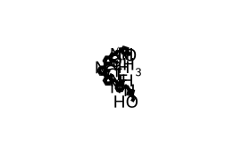 COc1cc(-c2nccc(-c3cccc(Nc4nccc(CN5CC(CO)C5)c4F)c3Cl)c2Cl)ccc1CNC[C@H]1CCC(=O)N1